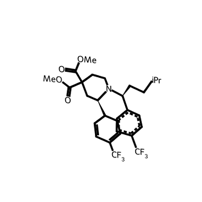 COC(=O)C1(C(=O)OC)CCN([C@@H](CCC(C)C)c2ccc(C(F)(F)F)cc2)[C@@H](C2C=CC(C(F)(F)F)=CC2)C1